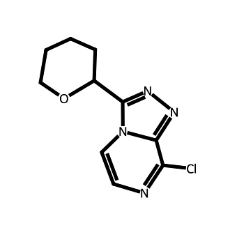 Clc1nccn2c(C3CCCCO3)nnc12